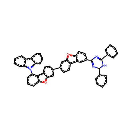 c1ccc(C2=NC(c3ccc4oc5cc(-c6ccc7c(c6)oc6cccc(-n8c9ccccc9c9ccccc98)c67)ccc5c4c3)=NC(c3ccccc3)N2)cc1